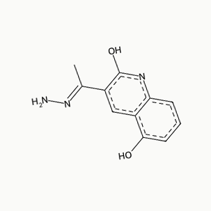 CC(=NN)c1cc2c(O)cccc2nc1O